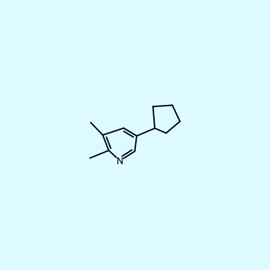 Cc1cc(C2CCCC2)cnc1C